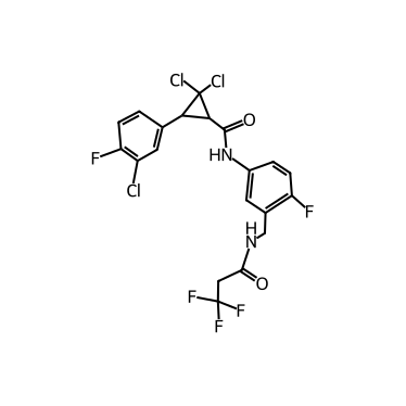 O=C(CC(F)(F)F)NCc1cc(NC(=O)C2C(c3ccc(F)c(Cl)c3)C2(Cl)Cl)ccc1F